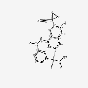 C[C@H](O)C(F)(F)c1cccc([C@@H](C)Nc2ncnc3nc(Cl)c(C4(C#N)CC4)cc23)c1